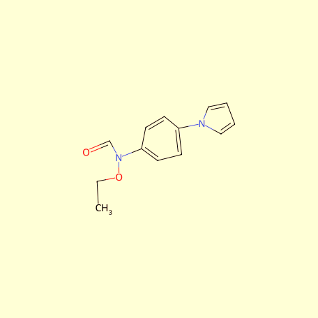 CCON(C=O)c1ccc(-n2cccc2)cc1